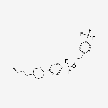 C=CCC[C@H]1CC[C@H](c2ccc(C(F)(F)OCCc3ccc(C(F)(F)F)cc3)cc2)CC1